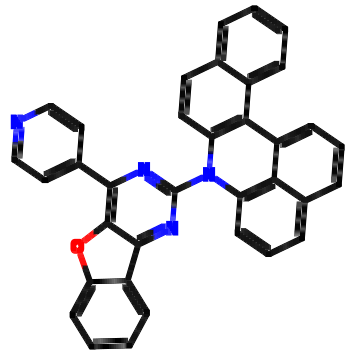 c1ccc2c3c(ccc2c1)N(c1nc(-c2ccncc2)c2oc4ccccc4c2n1)c1cccc2cccc-3c12